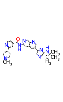 CN1CC=C(c2cc(C(=O)Nc3cc4cc(-c5cncc(NC(C)(C)C)n5)cnc4cn3)ccn2)CC1